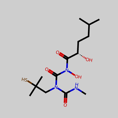 CNC(=O)N(CC(C)(C)S)C(=O)N(O)C(=O)[C@@H](O)CCC(C)C